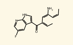 C\C=C/C(N)=C\C(=C/C)C(=O)c1c[nH]c2ncc(F)cc12